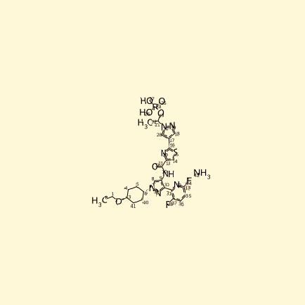 CCO[C@H]1CC[C@H](n2cc(NC(=O)c3csc(-c4cnn(C(C)OP(=O)(O)O)c4)n3)c(-c3nc(F)ccc3F)n2)CC1.N